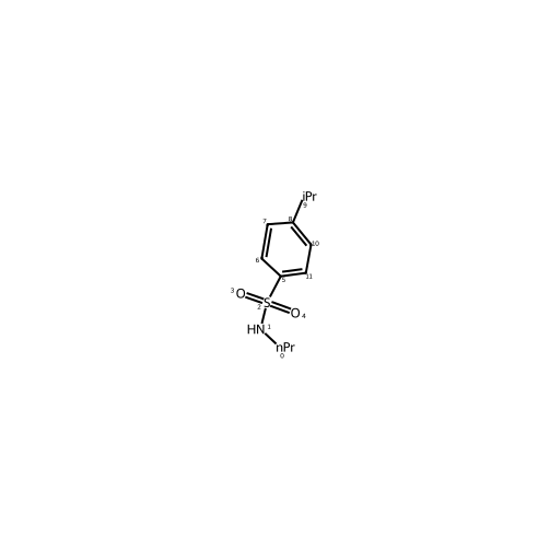 CCCNS(=O)(=O)c1ccc(C(C)C)cc1